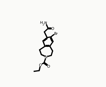 CCOC(=O)N1CCc2cc(Br)c(CC(N)=O)cc2CC1